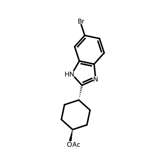 CC(=O)O[C@H]1CC[C@H](c2nc3ccc(Br)cc3[nH]2)CC1